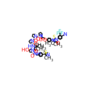 Cc1ncsc1-c1ccc(CNC(=O)[C@@H]2C[C@@H](O)CN2C(=O)[C@@H](NC(=O)[C@@H]2CCCN2C(=O)[C@@H]2CCCN2C(=O)[C@@H]2CCCN2C(=O)COc2ccc(N3C(=S)N(c4ccc(C#N)c(C(F)(F)F)c4)C(=O)C3(C)C)cc2)C(C)(C)C)cc1